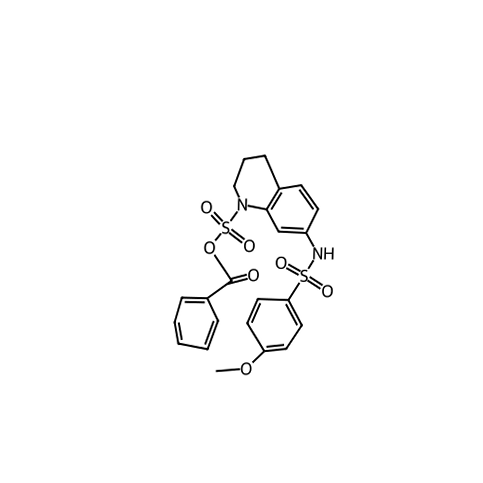 COc1ccc(S(=O)(=O)Nc2ccc3c(c2)N(S(=O)(=O)OC(=O)c2ccccc2)CCC3)cc1